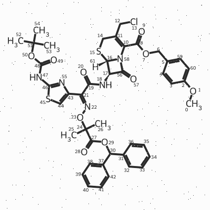 COc1ccc(COC(=O)C2=C(CCl)CS[C@H]3[C@H](NC(=O)C(=NOC(C)(C)C(=O)OC(c4ccccc4)c4ccccc4)c4csc(NC(=O)OC(C)(C)C)n4)C(=O)N23)cc1